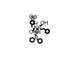 O=C(NCCN(C1CCCCC1)C1CCCCC1)[C@H](Cc1ccc([N+](=O)[O-])cc1)NC(=O)N(CCO)CCc1ccccc1